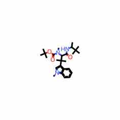 CC(NC(=O)C(N(C)C(=O)OC(C)(C)C)C(C)(C)c1cn(C)c2ccccc12)C(C)(C)C